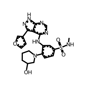 CNS(=O)(=O)c1ccc(N2CCCC(O)C2)c(Nc2ncnc3[nH]nc(-c4ccoc4)c23)c1